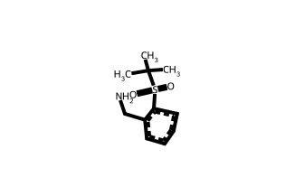 CC(C)(C)S(=O)(=O)c1ccccc1CN